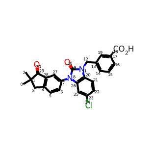 CC1(C)Cc2ccc(-n3c(=O)n(Cc4cccc(C(=O)O)c4)c4ccc(Cl)cc43)cc2C1=O